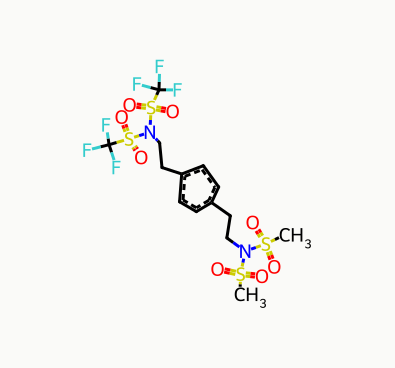 CS(=O)(=O)N(CCc1ccc(CCN(S(=O)(=O)C(F)(F)F)S(=O)(=O)C(F)(F)F)cc1)S(C)(=O)=O